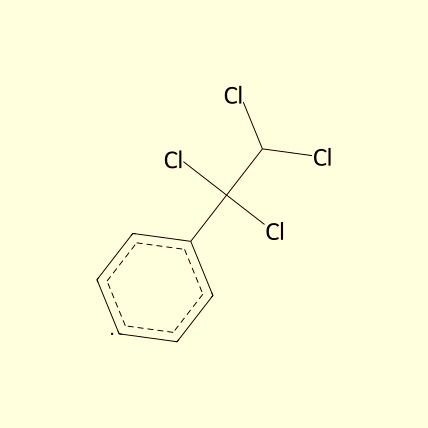 ClC(Cl)C(Cl)(Cl)c1cc[c]cc1